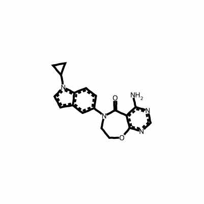 Nc1ncnc2c1C(=O)N(c1ccc3c(ccn3C3CC3)c1)CCO2